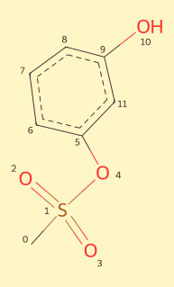 CS(=O)(=O)Oc1cccc(O)c1